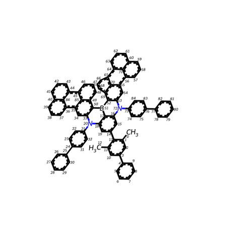 Cc1cc(-c2ccccc2)cc(C)c1-c1cc2c3c(c1)N(c1ccc(-c4ccccc4)cc1)c1cc4c5cccc6cccc(c7cccc(c1B3c1c(cc3c8cccc9cccc(c%10cccc1c%103)c98)N2c1ccc(-c2ccccc2)cc1)c74)c65